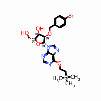 C[Si](C)(C)CCOc1ncnc2c1ncn2[C@@H]1O[C@H](CO)[C@@H](O)[C@H]1OCc1ccc(Br)cc1